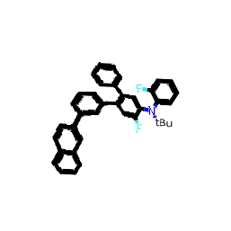 CC(C)(C)N(c1ccccc1F)c1cc(-c2ccccc2)c(-c2cccc(-c3ccc4ccccc4c3)c2)cc1F